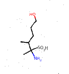 CC(CCCO)C(C)(N)S(=O)(=O)O